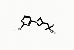 CC(F)(F)CC1CN(c2ccnc(Br)c2)C1